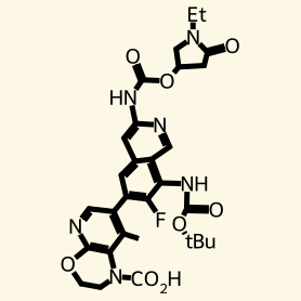 CCN1CC(OC(=O)Nc2cc3cc(-c4cnc5c(c4C)N(C(=O)O)CCO5)c(F)c(NC(=O)OC(C)(C)C)c3cn2)CC1=O